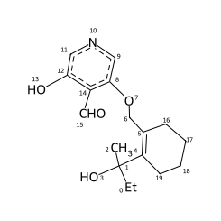 CCC(C)(O)C1=C(COc2cncc(O)c2C=O)CCCC1